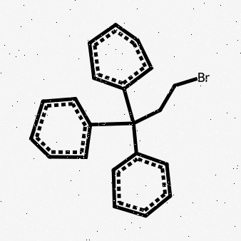 BrCCC(c1ccccc1)(c1ccccc1)c1ccccc1